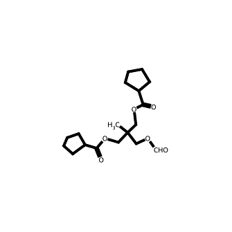 CC(COC=O)(COC(=O)C1CCCC1)COC(=O)C1CCCC1